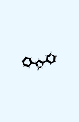 c1ccc(-c2cc(-c3cccnc3)sn2)cc1